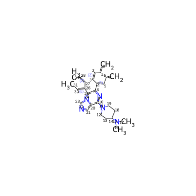 C=C/C=C\C(=C/C=C)c1nc(N2CCC(N(C)C)CC2)c2cncn2c1C(/C=C\C)=C/C